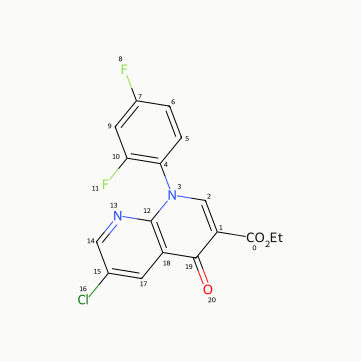 CCOC(=O)c1cn(-c2ccc(F)cc2F)c2ncc(Cl)cc2c1=O